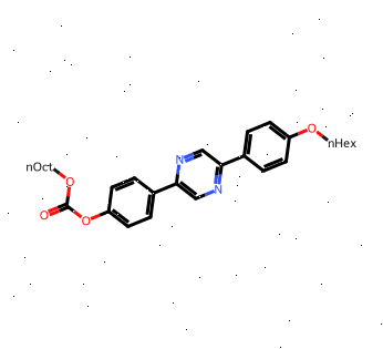 CCCCCCCCOC(=O)Oc1ccc(-c2cnc(-c3ccc(OCCCCCC)cc3)cn2)cc1